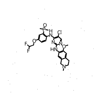 COc1cc2c(cc1Nc1ncc(Cl)c(Nc3ccc(OCC(F)F)cc3P(C)(C)=O)n1)CN(C)CC2